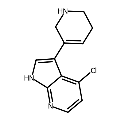 Clc1ccnc2[nH]cc(C3=CCCNC3)c12